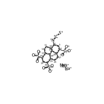 O=S(=O)([O-])c1cc(N=C=S)c2ccc3c(S(=O)(=O)[O-])cc(S(=O)(=O)[O-])c4ccc1c2c34.[Na+].[Na+].[Na+]